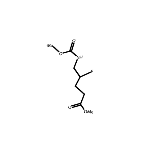 COC(=O)CCC(F)CNC(=O)OC(C)(C)C